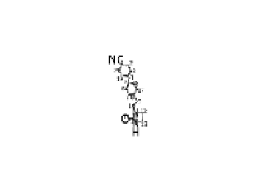 N#Cc1ccc(-c2ccc(CCN3CCNC3=O)cc2)cc1